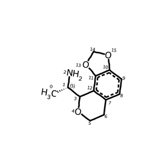 C[C@H](N)C1OCCc2ccc3c(c21)OCO3